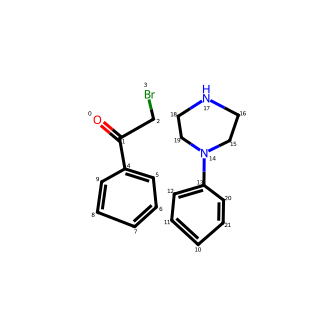 O=C(CBr)c1ccccc1.c1ccc(N2CCNCC2)cc1